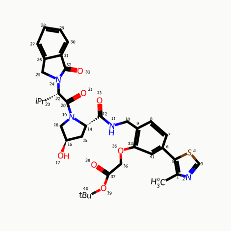 Cc1ncsc1-c1ccc(CNC(=O)[C@@H]2C[C@@H](O)CN2C(=O)[C@H](C(C)C)N2Cc3ccccc3C2=O)c(OCC(=O)OC(C)(C)C)c1